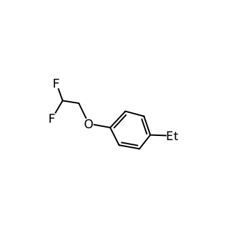 CCc1ccc(OCC(F)F)cc1